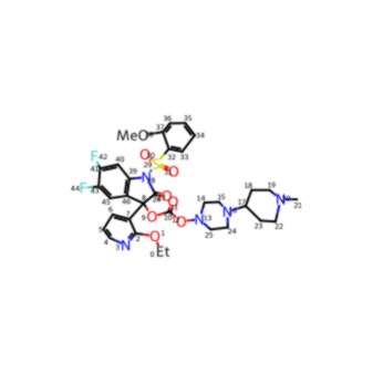 CCOc1ncccc1C1(OC(=O)ON2CCN(C3CCN(C)CC3)CC2)C(=O)N(S(=O)(=O)c2ccccc2OC)c2cc(F)c(F)cc21